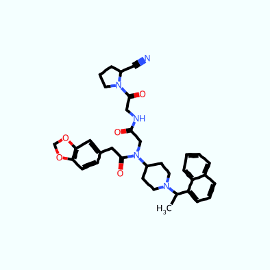 CC(c1cccc2ccccc12)N1CCC(N(CC(=O)NCC(=O)N2CCCC2C#N)C(=O)Cc2ccc3c(c2)OCO3)CC1